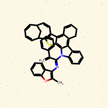 C=C(/C(=N\c1c(C)oc2ccccc12)n1c2ccccc2c2c3c(c4c5c(sc4c21)C1C=CC=CC(C=C5)C1)C=CCC3)c1ccccc1